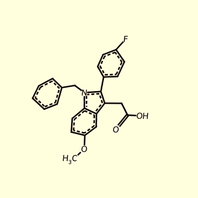 COc1ccc2c(c1)c(CC(=O)O)c(-c1ccc(F)cc1)n2Cc1ccccc1